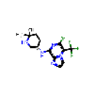 CC1(C)CC[C@H](Nc2nc(Br)c(C(F)(F)F)n3ccnc23)CN1